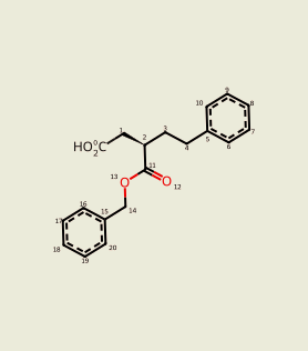 O=C(O)C[C@@H](CCc1ccccc1)C(=O)OCc1ccccc1